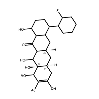 CC(=O)C1=C(O)C[C@@H]2C[C@@H]3CC4C(C5CCCCC5F)CCC(O)C4C(=O)C3C(O)[C@]2(O)C1O